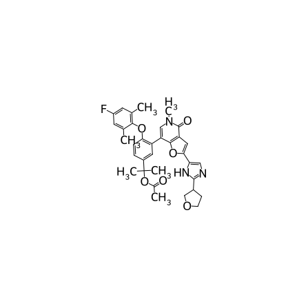 CC(=O)OC(C)(C)c1ccc(Oc2c(C)cc(F)cc2C)c(-c2cn(C)c(=O)c3cc(-c4cnc(C5CCOC5)[nH]4)oc23)c1